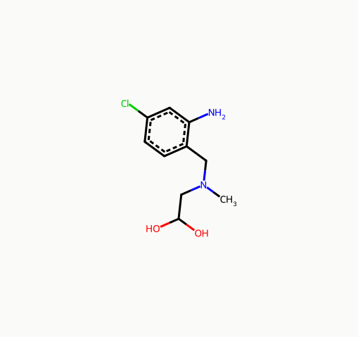 CN(Cc1ccc(Cl)cc1N)CC(O)O